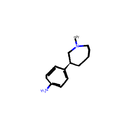 CCCN1CCC[C@@H](c2ccc(N)cc2)C1